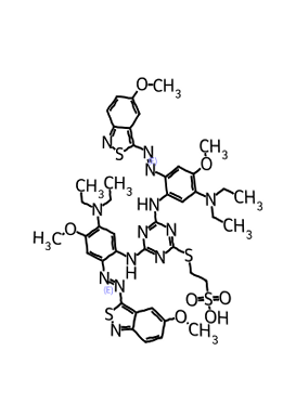 CCN(CC)c1cc(Nc2nc(Nc3cc(N(CC)CC)c(OC)cc3/N=N/c3snc4ccc(OC)cc34)nc(SCCS(=O)(=O)O)n2)c(/N=N/c2snc3ccc(OC)cc23)cc1OC